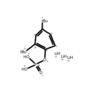 CC(C)(C)c1ccc(OP(=O)(O)O)c(C(C)(C)C)c1.[LiH].[LiH].[LiH]